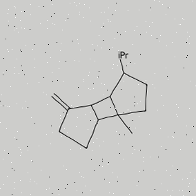 C=C1CCC2C1C1C(C(C)C)CCC21C